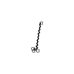 ClCCCCCCCCCCCCCCCC[Si](Cl)(Cl)Cl